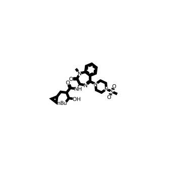 CCCCC(O)C(CC1CC1)C(=O)N[C@H]1N=C(N2CCN(S(C)(=O)=O)CC2)c2ccccc2N(C)C1=O